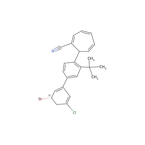 CC(C)(C)c1cc(C2=C[C@@H](Br)CC(Cl)=C2)ccc1C1C=CC=CC=C1C#N